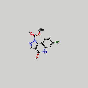 CC(C)(C)OC(=O)n1ncc2c(=O)[nH]c3cc(Br)ccc3c21